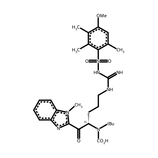 COc1cc(C)c(S(=O)(=O)NC(=N)NCCC[C@@H](C(=O)c2nc3ccccc3n2C)N(C(=O)O)C(C)(C)C)c(C)c1C